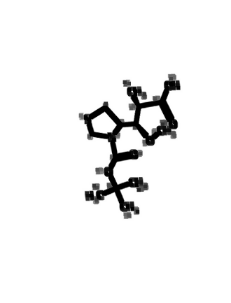 CO[C@@H](C1CSCN1C(=O)OC(C)(C)C)[C@@H](C)C(=O)O